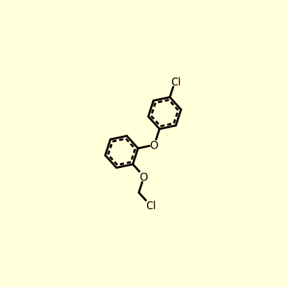 ClCOc1ccccc1Oc1ccc(Cl)cc1